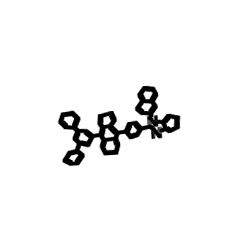 c1ccc(-c2cc(-c3ccccc3)cc(-c3c4ccccc4c(-c4ccc(-c5nc6ccccc6n5-c5ccc6ccccc6c5)cc4)c4ccccc34)c2)cc1